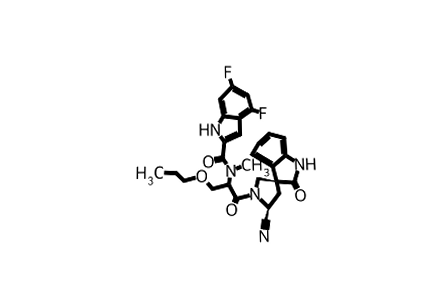 CCCOCC(C(=O)N1C[C@]2(C[C@H]1C#N)C(=O)Nc1ccccc12)N(C)C(=O)c1cc2c(F)cc(F)cc2[nH]1